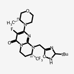 C[C@@H]1COCCN1c1nc2n(c(=O)c1F)CC[C@@H](C(F)(F)F)N2CC1=NC(C(C)(C)C)NO1